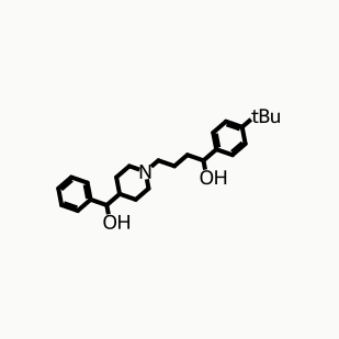 CC(C)(C)c1ccc(C(O)CCCN2CCC(C(O)c3ccccc3)CC2)cc1